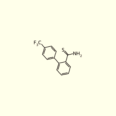 NC(=S)c1ccccc1-c1ccc(C(F)(F)F)cc1